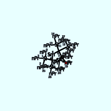 CCC[Si](CCC)(CCC)[C]([Sm][C]([Si](CCC)(CCC)CCC)([Si](CCC)(CCC)CCC)[Si](CCC)(CCC)CCC)([Si](CCC)(CCC)CCC)[Si](CCC)(CCC)CCC